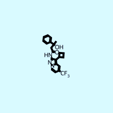 CC(O)(CC(=O)Nc1nn2ccc(C(F)(F)F)cc2c1C1CCC1)c1ccccc1